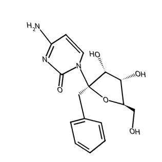 Nc1ccn([C@]2(Cc3ccccc3)O[C@H](CO)[C@@H](O)[C@H]2O)c(=O)n1